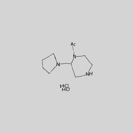 CC(=O)N1CCNCC1N1CCCC1.Cl.Cl